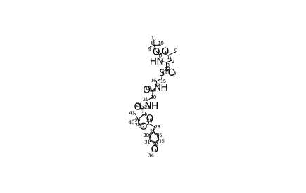 CCCC(NC(=O)OC(C)(C)C)C(=O)SCCNC(=O)CCNC(=O)[C@@H]1OC(Cc2ccc(OC)cc2)OCC1(C)C